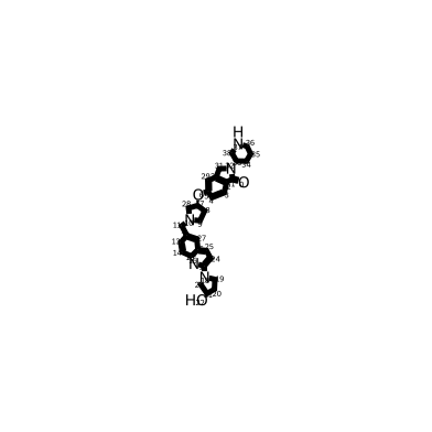 O=C1c2ccc(O[C@H]3CCN(Cc4ccc5nc(N6CC[C@@H](O)C6)ccc5c4)C3)cc2CN1C1CCCNC1